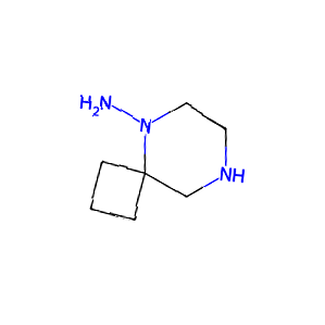 NN1CCNCC12CCC2